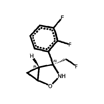 FC[C@]1(c2cccc(F)c2F)NOC2C[C@@H]21